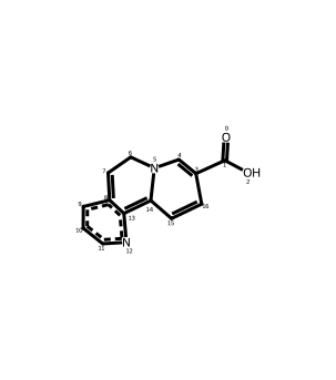 O=C(O)C1=CN2CC=c3cccnc3=C2C=C1